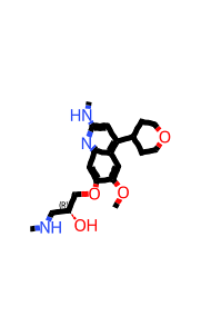 CNC[C@@H](O)COc1cc2nc(NC)cc(C3CCOCC3)c2cc1OC